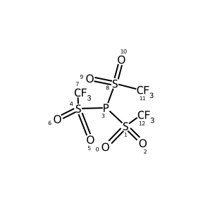 O=S(=O)(P(S(=O)(=O)C(F)(F)F)S(=O)(=O)C(F)(F)F)C(F)(F)F